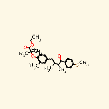 CCOC(=O)C(C)(C)Oc1c(C)cc(CC(C)C(C)C(=O)c2ccc(SC)cc2)cc1C